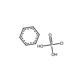 O=P(O)(O)Cl.c1ccccc1